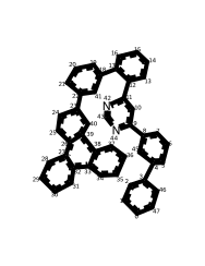 c1ccc(-c2cccc(-c3cc(-c4ccccc4-c4cccc(-c5ccc6c7ccccc7c7ccccc7c6c5)c4)ncn3)c2)cc1